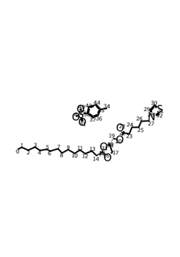 CCCCCCCCCCCCCCC[C@@H]1OC[C@@H](COC(=O)CCCCC[n+]2ccsc2)O1.Cc1ccc(S(=O)(=O)[O-])cc1